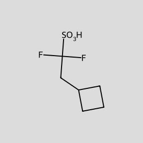 O=S(=O)(O)C(F)(F)CC1CCC1